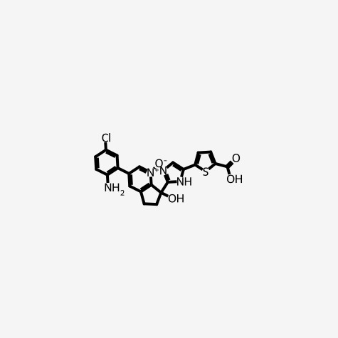 Nc1ccc(Cl)cc1-c1cc2c([n+]([O-])c1)C(O)(c1ncc(-c3ccc(C(=O)O)s3)[nH]1)CC2